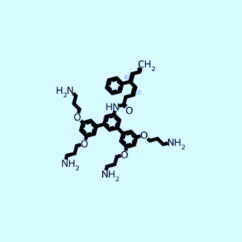 C=C/C=C(\C=C/CC(=O)Nc1cc(-c2cc(OCCCN)cc(OCCCN)c2)cc(-c2cc(OCCCN)cc(OCCCN)c2)c1)c1ccccc1